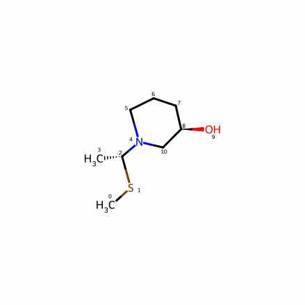 CS[C@H](C)N1CCC[C@@H](O)C1